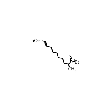 CCCCCCCCC=CCCCCCCC(C)[N+](=S)CC